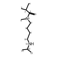 C=C(C(C)C)N(C)CCCCNC(C)C